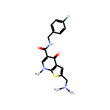 CN(C)Cc1cc2c(=O)c(C(=O)NCc3ccc(Cl)cc3)cn(C)c2s1